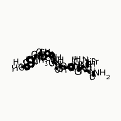 CC(C)[C@H](N)C(=O)N[C@@H](CCCNC(N)=O)C(=O)Nc1ccc(COC(=O)N[C@@H](CO)C(=O)Nc2ccc3c(c2)[C@@]2(C)CCC[C@](C)(C(=O)NC(=O)[C@@]4(C)CCC[C@]5(C)c6cc(O)ccc6CC[C@@H]45)[C@@H]2CC3)cc1